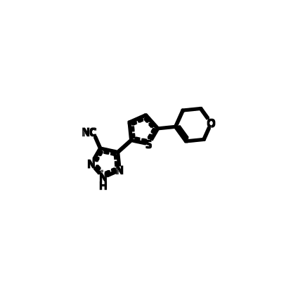 N#Cc1n[nH]nc1-c1ccc(C2=CCOCC2)s1